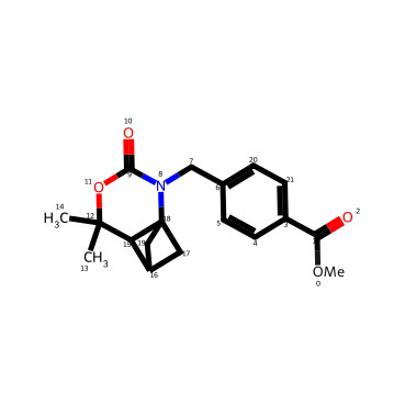 COC(=O)c1ccc(CN2C(=O)OC(C)(C)C3C4CC32C4)cc1